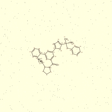 C#CC1CCCN1C(=O)c1cc(-c2nnc(C(C)(N)Cc3ccccc3)o2)cc(-c2ccccc2C#N)c1